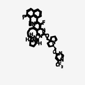 C#Cc1c(F)ccc2cccc(-c3nc4c5c(nc(OC[C@@]67CCCN6[C@H](COc6cc(C(F)(F)F)ncn6)CC7)nc5c3F)N3C[C@H]5CC[C@H](N5)[C@H]3CCC4)c12